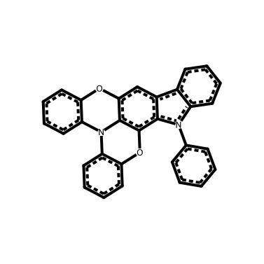 c1ccc(-n2c3ccccc3c3cc4c5c(c32)Oc2ccccc2N5c2ccccc2O4)cc1